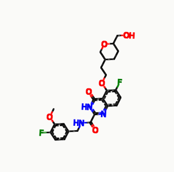 COc1cc(CNC(=O)c2nc3ccc(F)c(OCCC4CCC(CO)OC4)c3c(=O)[nH]2)ccc1F